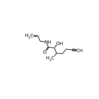 C#CCCC(C)[C@H](O)C(=O)NCC=C